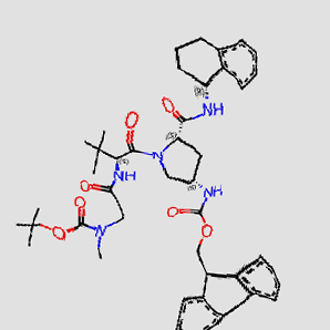 CN(CC(=O)N[C@H](C(=O)N1C[C@@H](NC(=O)OCC2c3ccccc3-c3ccccc32)C[C@H]1C(=O)N[C@@H]1CCCc2ccccc21)C(C)(C)C)C(=O)OC(C)(C)C